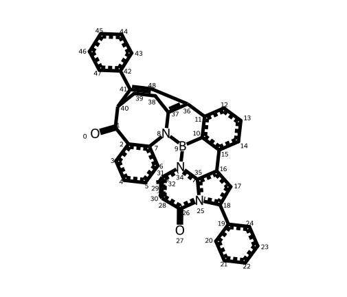 O=C1c2ccccc2N2B3c4c(cccc4-c4cc(-c5ccccc5)n5c(=O)c6ccccc6n3c45)C3=C2CCC1C(c1ccccc1)=C3